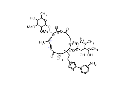 CCO[C@@H](O[C@H]1[C@@H](CCn2cc(-c3cccc(N)c3)nn2)C[C@@H](C)C(=O)/C=C/C(C)=C/[C@H](COC2OC(C)C(O)C(OC)C2OC)[C@@H](CC)OC(=O)CC[C@@H]1C)C(O)C([C@@H](C)O)N(C)C